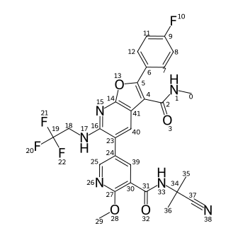 CNC(=O)c1c(-c2ccc(F)cc2)oc2nc(NCC(F)(F)F)c(-c3cnc(OC)c(C(=O)NC(C)(C)C#N)c3)cc12